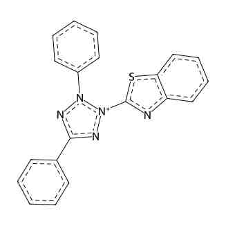 c1ccc(-c2nn(-c3ccccc3)[n+](-c3nc4ccccc4s3)n2)cc1